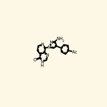 CC(=O)c1ccc(-c2cn(-c3nccc4c(=O)[nH]cnc34)nc2N)cc1